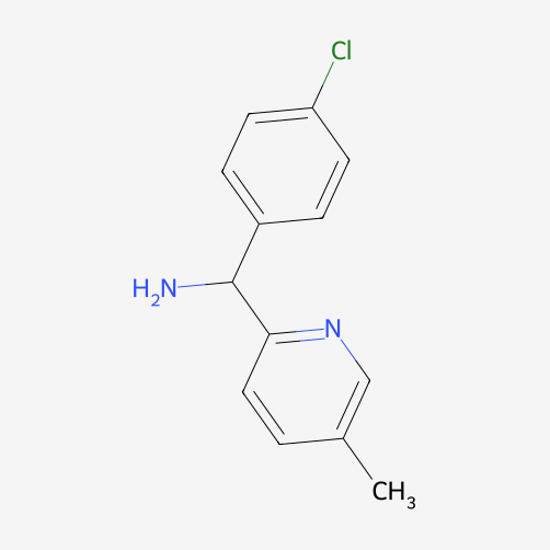 Cc1ccc(C(N)c2ccc(Cl)cc2)nc1